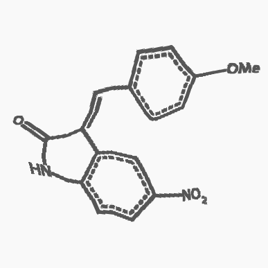 COc1ccc(/C=C2/C(=O)Nc3ccc([N+](=O)[O-])cc32)cc1